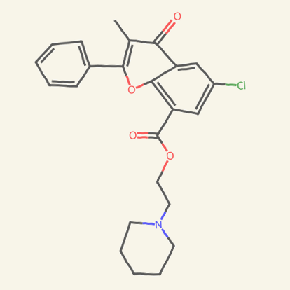 Cc1c(-c2ccccc2)oc2c(C(=O)OCCN3CCCCC3)cc(Cl)cc2c1=O